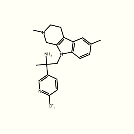 Cc1ccc2c(c1)c1c(n2CC(C)(N)c2ccc(C(F)(F)F)nc2)CN(C)CC1